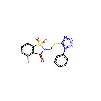 Cc1cccc2c1C(=O)N(CSc1nnnn1-c1ccccc1)S2(=O)=O